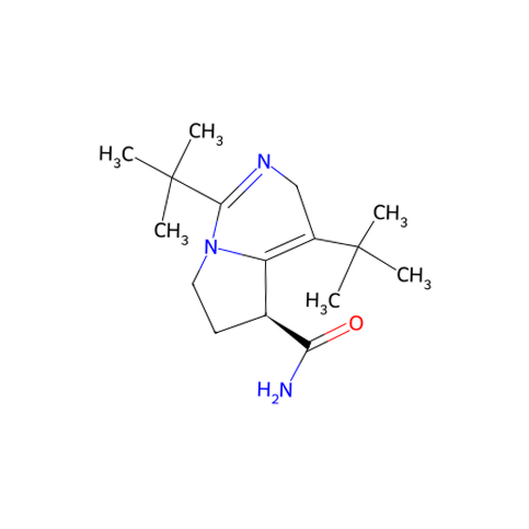 CC(C)(C)C1=NCC(C(C)(C)C)=C2[C@@H](C(N)=O)CCN12